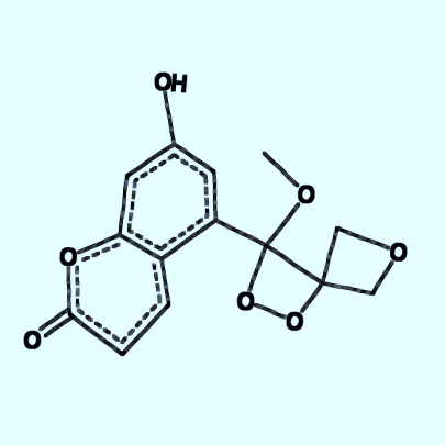 COC1(c2cc(O)cc3oc(=O)ccc23)OOC12COC2